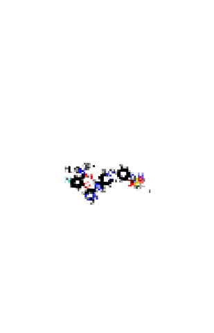 CC(C)N(C)C(=O)c1cc(F)ccc1Oc1cncnc1N1CC2(CCN(C[C@H]3CC[C@H](NS(C)(=O)=O)CC3)CC2)C1